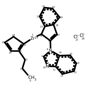 CCCC1=[C]([Zr+2][CH]2C(n3cnc4ccccc43)=Cc3ccccc32)CC=C1.[Cl-].[Cl-]